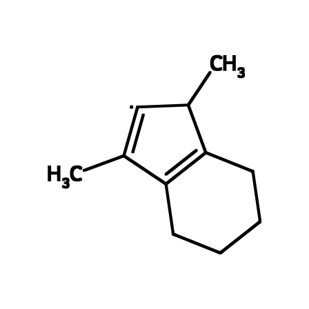 CC1=[C]C(C)C2=C1CCCC2